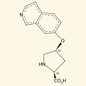 O=C(O)[C@@H]1C[C@H](Oc2ccc3ccncc3c2)CN1